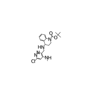 CNc1cc(Cl)nnc1CNC1CCN(C(=O)OC(C)(C)C)c2ccccc21